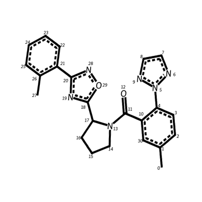 Cc1ccc(-n2nccn2)c(C(=O)N2CCCC2c2nc(-c3ccccc3C)no2)c1